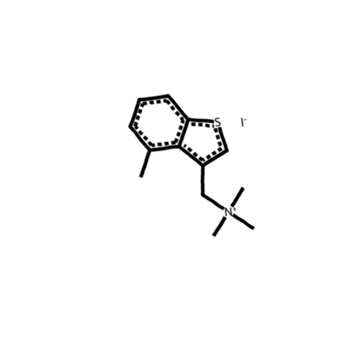 Cc1cccc2scc(C[N+](C)(C)C)c12.[I-]